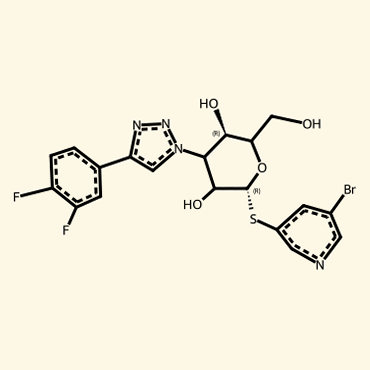 OCC1O[C@H](Sc2cncc(Br)c2)C(O)C(n2cc(-c3ccc(F)c(F)c3)nn2)[C@H]1O